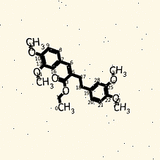 CCOC(=O)C(=Cc1ccc(OC)c(OC)c1)CCc1ccc(OC)c(OC)c1